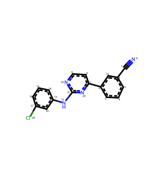 N#Cc1cccc(-c2ccnc(Nc3cccc(Cl)c3)n2)c1